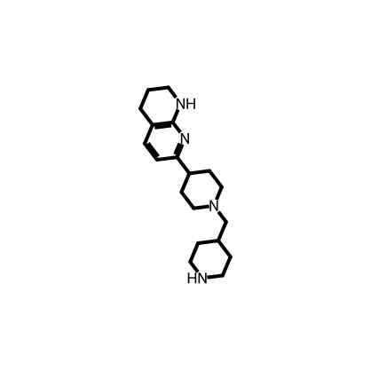 c1cc2c(nc1C1CCN(CC3CCNCC3)CC1)NCCC2